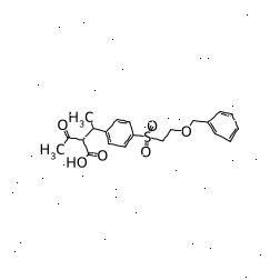 CC(=O)C(C(=O)O)C(C)c1ccc(S(=O)(=O)CCOCc2ccccc2)cc1